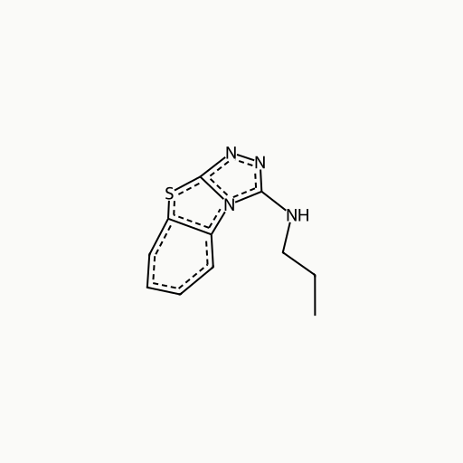 CCCNc1nnc2sc3ccccc3n12